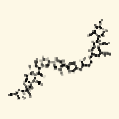 COc1cc(C2CCN(CC3CCN(c4ccc(-c5cnc6[nH]cc(C(=O)c7c(F)ccc(NS(=O)(=O)N8CC[C@@H](F)C8)c7F)c6c5)cc4F)CC3)CC2)cc2c1C(=O)N(C1CCC(=O)NC1=O)C2